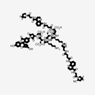 N#C[C@@H]1CC(F)(F)CN1C(=O)CNC(=O)c1ccnc2c(NC(=O)CCC(=O)NCc3cn(CCCC[C@H](NC(=O)C[C@H](NC(=O)CCC(=O)Nc4cccc5c(C(=O)NCC(=O)N6CCC(F)(F)C6)ccnc45)C(=O)O)C(=O)N[C@@H](CC(=O)O)C(=O)N[C@@H](CCCCN)C(=O)N[C@@H](CC(=O)O)C(=O)N[C@@H](CSC4CC(=O)N(c5ccc6c(c5)C(=O)OC65c6ccc(O)cc6Oc6cc(O)ccc65)C4=O)C(=O)O)nn3)cccc12